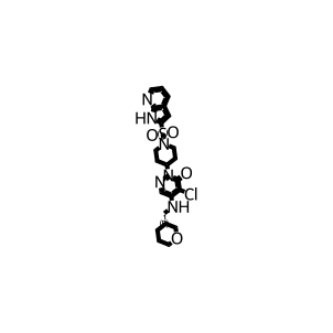 O=c1c(Cl)c(NC[C@H]2CCCOC2)cnn1C1CCN(S(=O)(=O)c2cc3cccnc3[nH]2)CC1